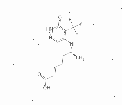 C[C@@H](CC/C=C/C(=O)O)Nc1cn[nH]c(=O)c1C(F)(F)F